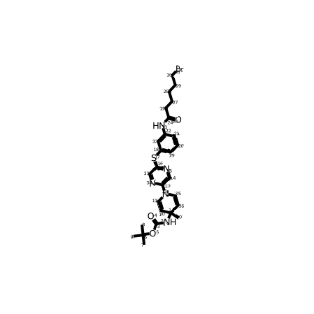 CC1(NC(=O)OC(C)(C)C)C=CN(c2cnc(Sc3cccc(NC(=O)CCCCCBr)c3)cn2)C=C1